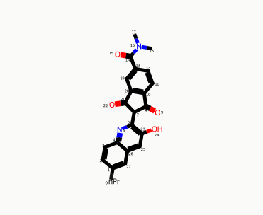 CCCc1ccc2nc(C3C(=O)c4ccc(C(=O)N(C)C)cc4C3=O)c(O)cc2c1